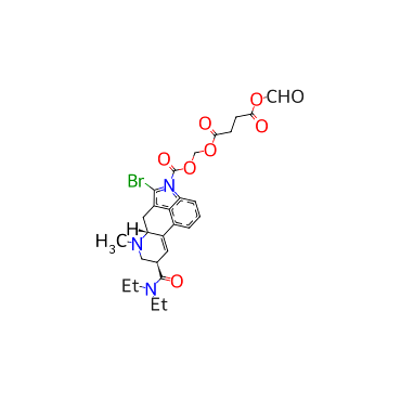 CCN(CC)C(=O)[C@@H]1C=C2c3cccc4c3c(c(Br)n4C(=O)OCOC(=O)CCC(=O)OC=O)C[C@H]2N(C)C1